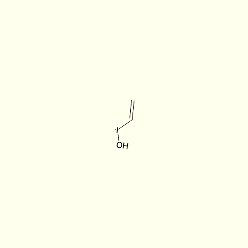 C=C[I]O